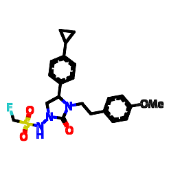 COc1ccc(CCN2C(=O)N(NS(=O)(=O)CF)CC2c2ccc(C3CC3)cc2)cc1